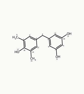 Cc1cc(Cc2cc(O)cc(O)c2)cc(C)c1O